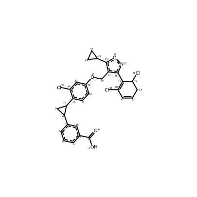 O=C(O)c1cccc(C2CC2c2ccc(OCc3c(C4=C(Cl)C=CCC4Cl)noc3C3CC3)cc2Cl)c1